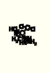 Cc1cnnc2c1/C(=N/NC(=N)N)CC(c1cc(Cl)ccc1Cl)C2.Cl